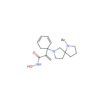 C=C(C(=O)NO)C1(N2CCC3(CCCN3C(C)=O)C2)C=CC=CC1